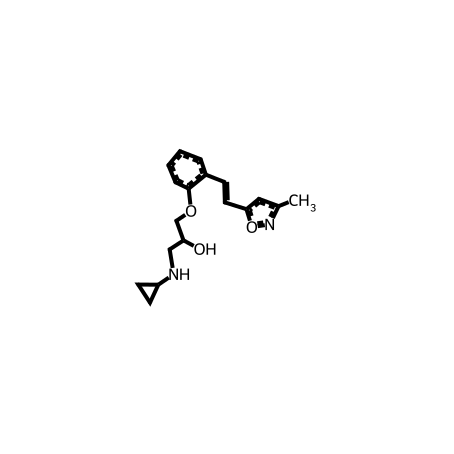 Cc1cc(C=Cc2ccccc2OCC(O)CNC2CC2)on1